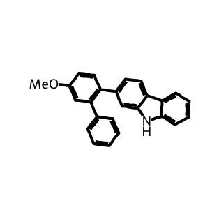 COc1ccc(-c2ccc3c(c2)[nH]c2ccccc23)c(-c2ccccc2)c1